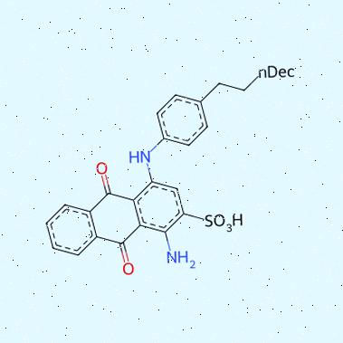 CCCCCCCCCCCCc1ccc(Nc2cc(S(=O)(=O)O)c(N)c3c2C(=O)c2ccccc2C3=O)cc1